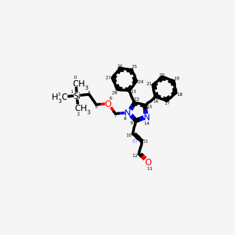 C[Si](C)(C)CCOCn1c(/C=C/C=O)nc(-c2ccccc2)c1-c1ccccc1